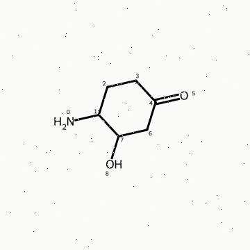 NC1C[CH]C(=O)CC1O